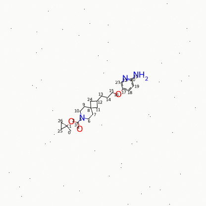 CC1(OC(=O)N2CCC3(CC2)CC(CCCOc2ccc(N)nc2)C3)CC1